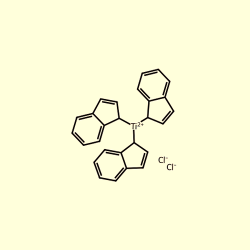 C1=C[CH]([Ti+2]([CH]2C=Cc3ccccc32)[CH]2C=Cc3ccccc32)c2ccccc21.[Cl-].[Cl-]